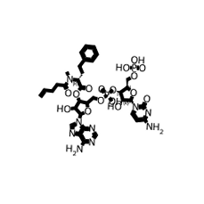 C=CCCC(=O)N(C)[C@H](CCc1ccccc1)C(=O)OC1C(COP(=O)(O)O[C@H]2[C@@H](O)[C@H](n3ccc(N)nc3=O)O[C@@H]2COP(=O)(O)O)OC(n2cnc3c(N)ncnc32)C1O